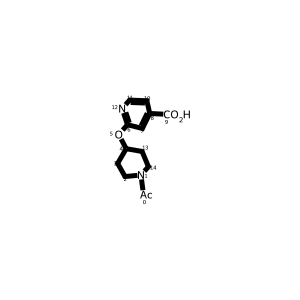 CC(=O)N1CCC(Oc2cc(C(=O)O)ccn2)CC1